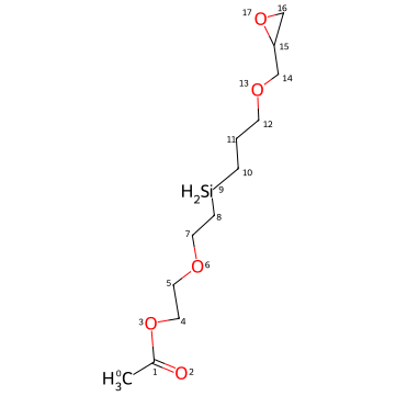 CC(=O)OCCOCC[SiH2]CCCOCC1CO1